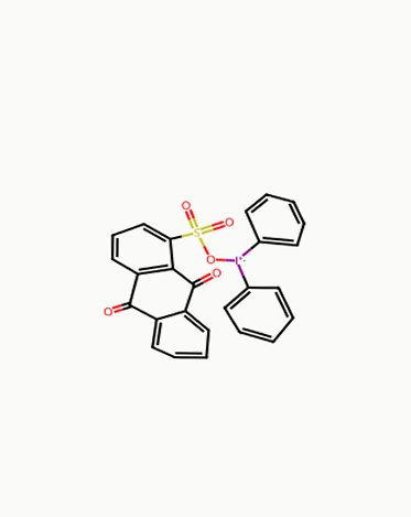 O=C1c2ccccc2C(=O)c2c1cccc2S(=O)(=O)O[I+](c1ccccc1)c1ccccc1